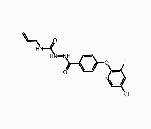 C=CCNC(=O)NNC(=O)c1ccc(Oc2ncc(Cl)cc2F)cc1